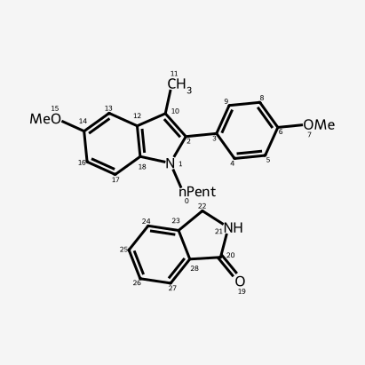 CCCCCn1c(-c2ccc(OC)cc2)c(C)c2cc(OC)ccc21.O=C1NCc2ccccc21